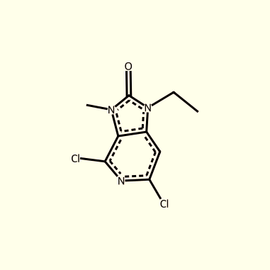 CCn1c(=O)n(C)c2c(Cl)nc(Cl)cc21